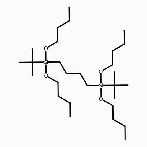 CCCCO[Si](CCCC[Si](OCCCC)(OCCCC)C(C)(C)C)(OCCCC)C(C)(C)C